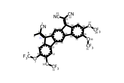 C/C(C#N)=C1\c2cc(OC(F)(F)F)c(OC(F)(F)F)cc2-c2cc3c(cc21)C(=C(C#N)C#N)c1cc(OC(F)(F)F)c(OC(F)(F)F)cc1-3